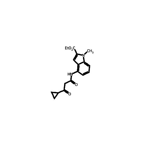 CCOC(=O)c1cc2c(NC(=O)CC(=O)C3CC3)cccc2n1C